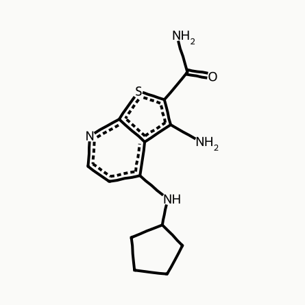 NC(=O)c1sc2nccc(NC3CCCC3)c2c1N